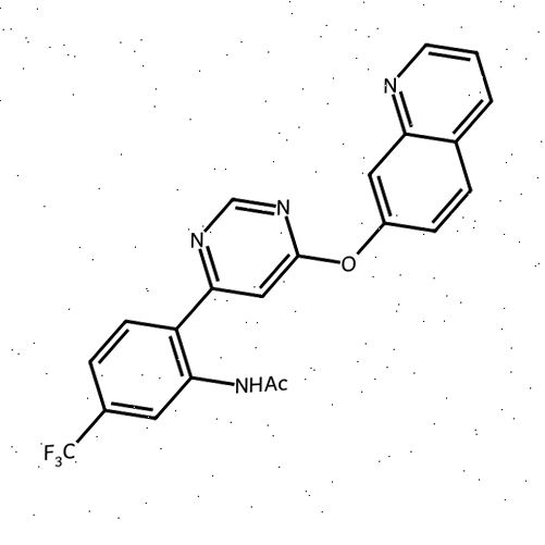 CC(=O)Nc1cc(C(F)(F)F)ccc1-c1cc(Oc2ccc3cccnc3c2)ncn1